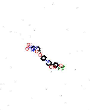 O=[N+]([O-])c1cn2c(n1)O[C@@H](COc1ccc(N3CCC(O)(c4ccc(OC(F)(F)F)cc4)CC3)cc1)CC2